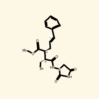 CC(C)C[C@@H](C(=O)NN1CC(=O)NC1=O)[C@H](C/C=C/c1ccccc1)C(=O)OC(C)(C)C